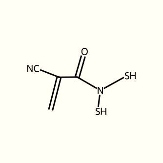 C=C(C#N)C(=O)N(S)S